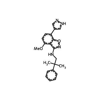 COc1ccc(-c2cn[nH]c2)c2onc(NCC(C)(C)c3ccccc3)c12